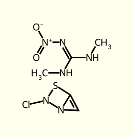 CNC(=N[N+](=O)[O-])NC.ClN1SC2=CN21